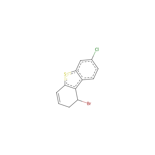 Clc1ccc2c3c(sc2c1)C=CCC3Br